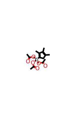 CC(=O)[O][Ti]([O]C(C)=O)([O]C(C)=O)[C]1=C(C)C(C)=C(C)C1